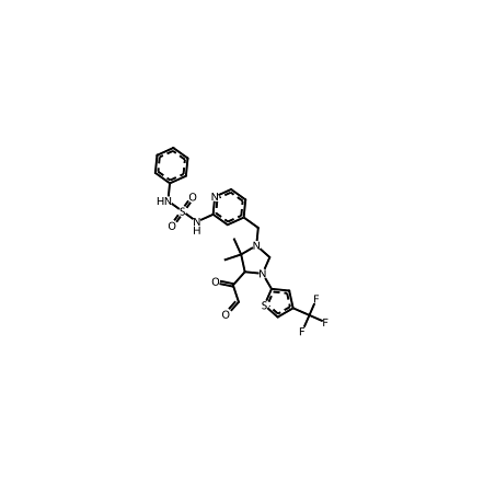 CC1(C)C(C(=O)C=O)N(c2cc(C(F)(F)F)cs2)CN1Cc1ccnc(NS(=O)(=O)Nc2ccccc2)c1